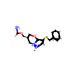 NC(=O)OC[C@H]1COc2c(SCc3ccccc3)cnn2C1